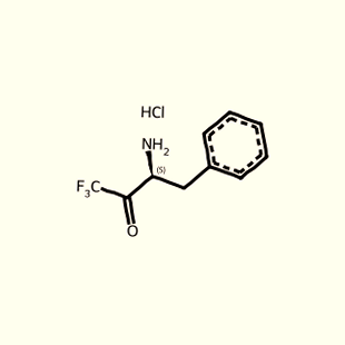 Cl.N[C@@H](Cc1ccccc1)C(=O)C(F)(F)F